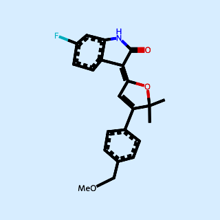 COCc1ccc(C2=CC(=C3C(=O)Nc4cc(F)ccc43)OC2(C)C)cc1